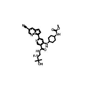 COC(=O)NC1CCC(Nc2cc(-c3ccc4cc(C#N)cnn34)ncc2C(=O)NC[C@@H](F)C(C)(C)O)CC1